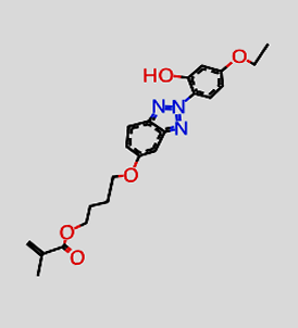 C=C(C)C(=O)OCCCCOc1ccc2nn(-c3ccc(OCC)cc3O)nc2c1